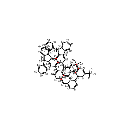 CC(C)(C)c1cc(-c2cccc3cccc(-c4ccccc4N(c4ccc5c(c4)c4ccccc4n5-c4ccccc4)c4ccccc4-c4ccc5c(c4)C(C)(c4ccccc4)c4ccccc4-5)c23)cc(C(C)(C)C)c1